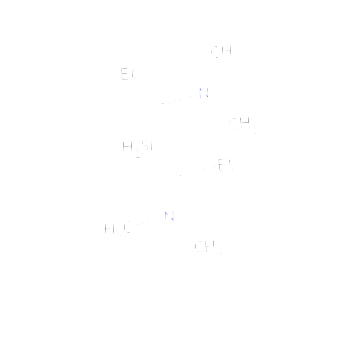 CCC([SiH2]C(CC)N(C)C)N(C)C